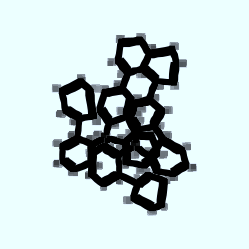 c1ccc(-c2ccccc2-n2c3ccccc3c3cc(-c4cccc5cccc(-c6ccc7c(c6)c6ccccc6n7-c6ccccc6-c6ccccc6)c45)ccc32)cc1